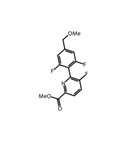 COCc1cc(F)c(-c2nc(C(=O)OC)ccc2F)c(F)c1